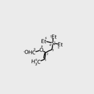 CC=C(C[Si](CC)(CC)CC)O[C]=O